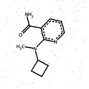 CN(c1ncccc1C(N)=O)C1CCC1